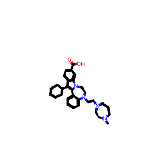 CN1CCCN(CCN2CCn3c(c(C4CCCCC4)c4ccc(C(=O)O)cc43)-c3ccccc32)CC1